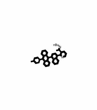 CCCC/N=C(\C)c1cccnc1-c1ccc(-c2c3ccccc3c(C3C=CC(C)=CC3)c3ccccc23)c2ccccc12